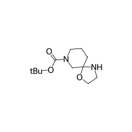 CC(C)(C)OC(=O)N1CCCC2(C1)NCCO2